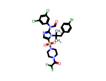 CC(C)(Cc1ccc(Br)cc1)n1c(S(=O)(=O)N2CCN(C(=O)C(F)F)CC2)cnc1N(C=O)c1cc(Cl)cc(Cl)c1